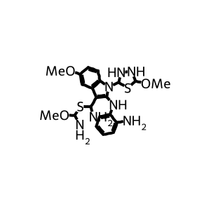 COc1ccc2c(c1)c(C(N)SC(N)OC)c(Nc1ccccc1N)n2C1NNC(OC)S1